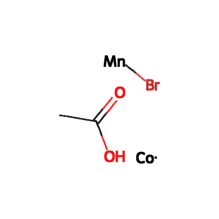 CC(=O)O.[Co].[Mn][Br]